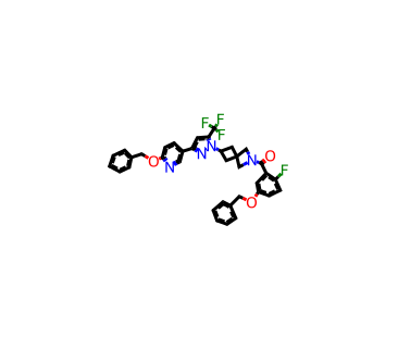 O=C(c1cc(OCc2ccccc2)ccc1F)N1CC2(CC(n3nc(-c4ccc(OCc5ccccc5)nc4)cc3C(F)(F)F)C2)C1